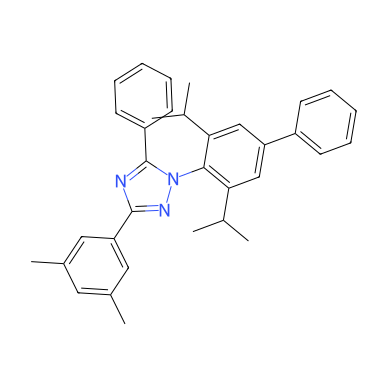 Cc1cc(C)cc(-c2nc(-c3ccccc3)n(-c3c(C(C)C)cc(-c4ccccc4)cc3C(C)C)n2)c1